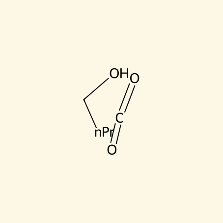 CCCCO.O=C=O